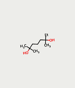 CCC(C)(O)CCCC(C)(C)O